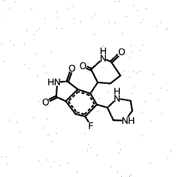 O=C1CCC(c2c3c(cc(F)c2C2CNCCN2)C(=O)NC3=O)C(=O)N1